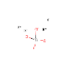 [K+].[K+].[K+].[K+].[O-][Ti]([O-])([O-])[O-]